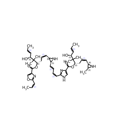 C/C=C\c1nc(C(=O)O[C@@H](C/C=C\[C@H]2N[C@H]2/C=C/C=C\c2nc(C(=O)O[C@@H](C/C=C\[C@H]3N[C@H]3C)C(C)(C)[C@@H](O)/C=C/C)c[nH]2)C(C)(C)[C@@H](O)/C=C/C)co1